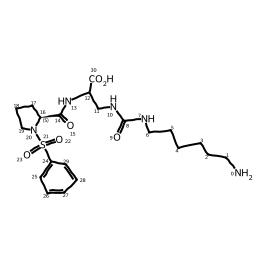 NCCCCCCNC(=O)NCC(NC(=O)[C@@H]1CCCN1S(=O)(=O)c1ccccc1)C(=O)O